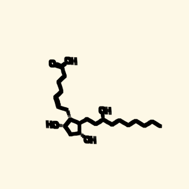 CCCCCCC[C@H](O)CC[C@@H]1[C@@H](C/C=C\CCCC(=O)O)[C@@H](O)C[C@H]1O